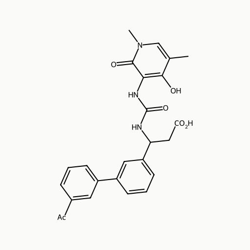 CC(=O)c1cccc(-c2cccc(C(CC(=O)O)NC(=O)Nc3c(O)c(C)cn(C)c3=O)c2)c1